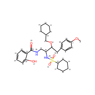 COc1ccc(CC(OCC2CCCCC2)C(CNC(=O)c2ccccc2O)NS(=O)(=O)C2CCCCC2)cc1